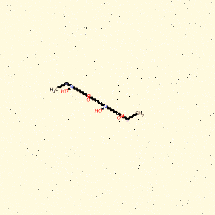 CCCCC/C=C\CCOC(=O)CCCCCCCCCN(CCO)CCCCCCCCCC(=O)OCCCCCCCCCCN(CCO)CC/C=C\CCCCC